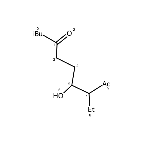 CCC(C)C(=O)CCC(O)C(CC)C(C)=O